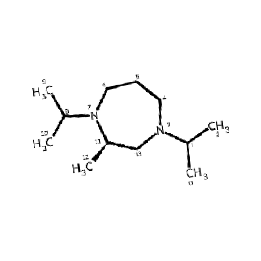 CC(C)N1CCCN(C(C)C)[C@H](C)C1